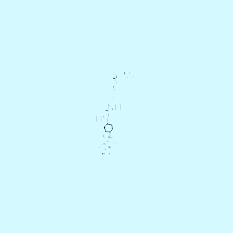 COC(=O)CCCCCCNC(=O)CNc1ccc2c(c1)CN(C1CCC(=O)NC1=O)C2=O